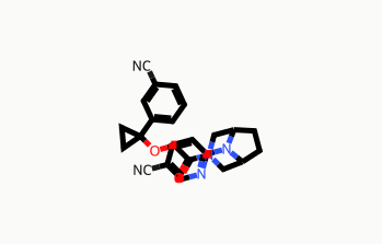 N#Cc1ccc(N2C3CCC2CN(C(=O)COC2(c4cccc(C#N)c4)CC2)C3)nc1